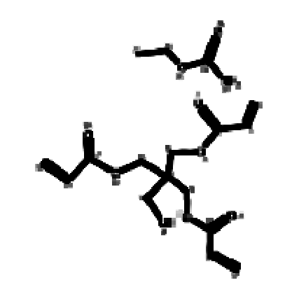 C=CC(=O)OCC(CO)(COC(=O)C=C)COC(=O)C=C.CCOC(N)=O